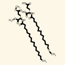 CCCCCCCCCCCCCCCCCC(=O)N[C@@H](CCC(=O)O)C(=O)O.CCCCCCCCCCCCCCCCCC(=O)N[C@@H](CCC(=O)OC)C(=O)OC